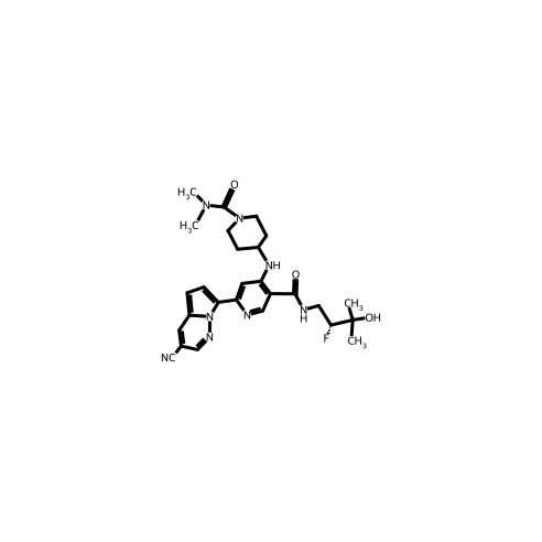 CN(C)C(=O)N1CCC(Nc2cc(-c3ccc4cc(C#N)cnn34)ncc2C(=O)NC[C@@H](F)C(C)(C)O)CC1